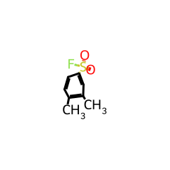 Cc1ccc(S(=O)(=O)F)cc1C